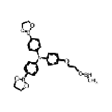 CBOCCOc1ccc(N(c2ccc(B3OCCO3)cc2)c2ccc(B3OCCO3)cc2)cc1